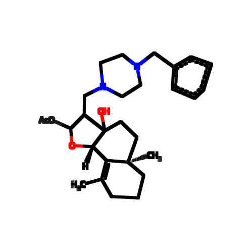 CC(=O)OC1O[C@H]2C3=C(C)CCC[C@]3(C)CCC2(O)C1CN1CCN(Cc2ccccc2)CC1